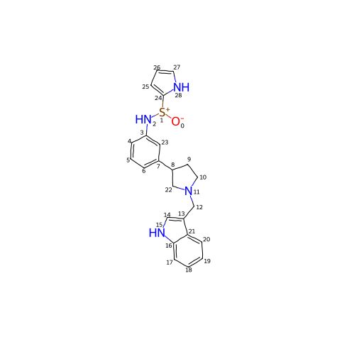 [O-][S+](Nc1cccc(C2CCN(Cc3c[nH]c4ccccc34)C2)c1)c1ccc[nH]1